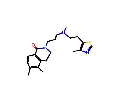 Cc1ccc2c(c1C)CCN(CCCN(C)CCc1scnc1C)C2=O